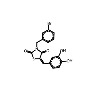 O=C1SC(=Cc2ccc(O)c(O)c2)C(=O)N1Cc1cccc(Br)c1